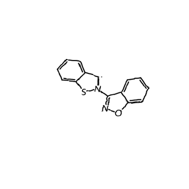 [CH]1c2ccccc2SN1c1noc2ccccc12